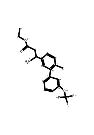 CCOC(=O)CC(N)c1ccc(C)c(-c2cccc(OC(F)(F)F)c2)c1